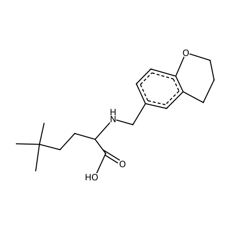 CC(C)(C)CCC(NCc1ccc2c(c1)CCCO2)C(=O)O